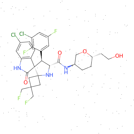 O=C(N[C@@H]1CC[C@@H](CCO)OC1)[C@@H]1NC2(CC(CF)(CF)C2)[C@@]2(C(=O)Nc3cc(Cl)ccc32)[C@H]1c1cc(F)cc(Cl)c1F